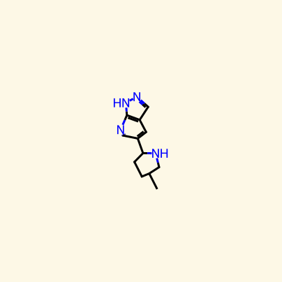 CC1CCC(c2cnc3[nH]ncc3c2)NC1